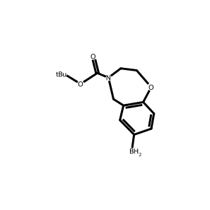 Bc1ccc2c(c1)CN(C(=O)OC(C)(C)C)CCO2